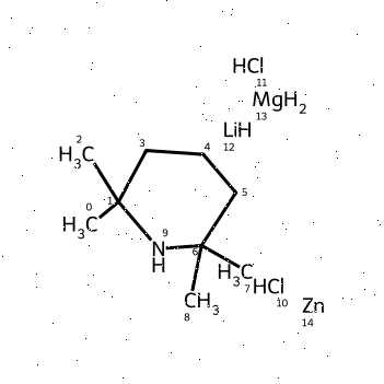 CC1(C)CCCC(C)(C)N1.Cl.Cl.[LiH].[MgH2].[Zn]